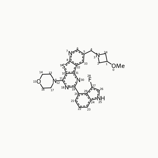 COC1CN(Cc2cnc3sc4c(N5CCOCC5)nc(-c5cccc6[nH]cc(F)c56)nc4c3c2)C1